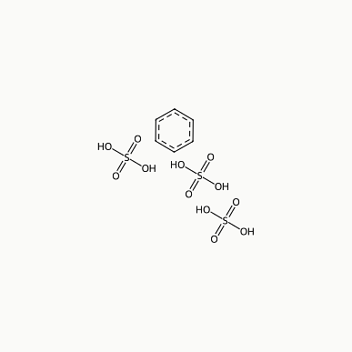 O=S(=O)(O)O.O=S(=O)(O)O.O=S(=O)(O)O.c1ccccc1